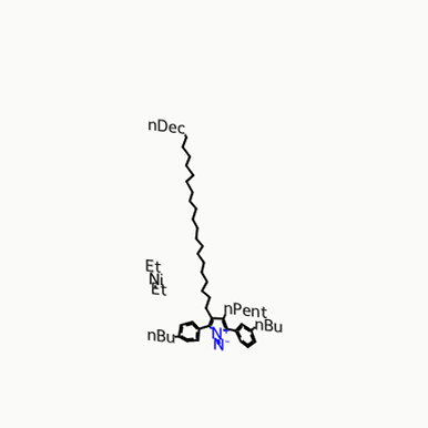 CCCCCCCCCCCCCCCCCCCCCCCCCCCCCCC1=C(c2ccc(CCCC)cc2)[N+](=[N-])C(c2cccc(CCCC)c2)=C1CCCCC.C[CH2][Ni][CH2]C